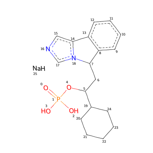 O=P(O)(O)OC(CC1c2ccccc2-c2cncn21)C1CCCCC1.[NaH]